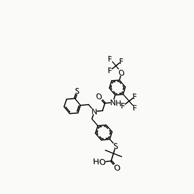 CC(C)(Sc1ccc(CN(CC(=O)Nc2ccc(OC(F)(F)F)cc2C(F)(F)F)CC2=CC=CCC2=S)cc1)C(=O)O